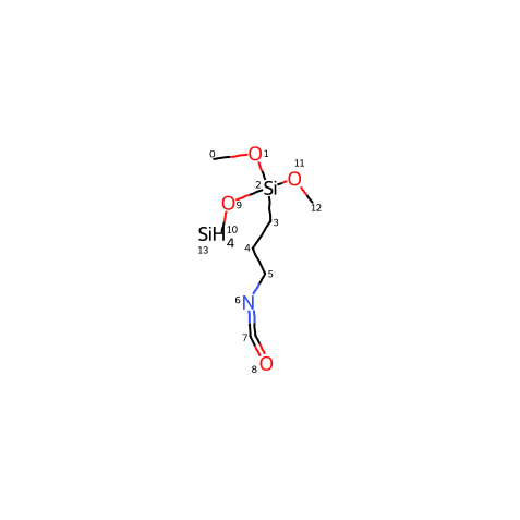 CO[Si](CCCN=C=O)(OC)OC.[SiH4]